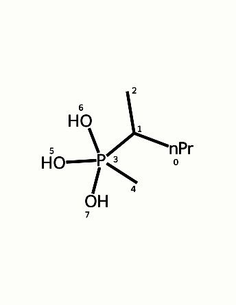 CCCC(C)P(C)(O)(O)O